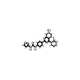 CCN1CCc2c(nc(-c3ccc(NC(=O)Nc4ccon4)cc3)nc2N2CCOC[C@@H]2C)C1